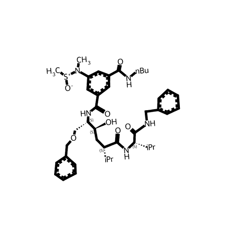 CCCCNC(=O)c1cc(C(=O)N[C@@H](COCc2ccccc2)[C@@H](O)C[C@H](C(=O)N[C@H](C(=O)NCc2ccccc2)C(C)C)C(C)C)cc(N(C)[S+](C)[O-])c1